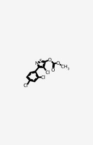 COC(=O)Oc1snc(-c2ccc(Cl)cc2Cl)c1Cl